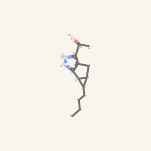 CCCCC1C2Cc3c(n[nH]c3C(C)=O)C12